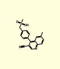 Cc1ccc2ncc(C#N)c(-c3ccc(CS(C)(=N)=O)cc3)c2c1